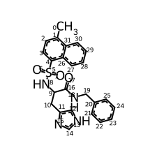 Cc1ccc(S(=O)(=O)NC(Cc2c[nH]cn2)C(=O)NCc2ccccc2)c2ccccc12